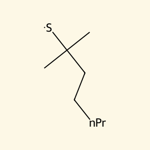 CCCCCC(C)(C)[S]